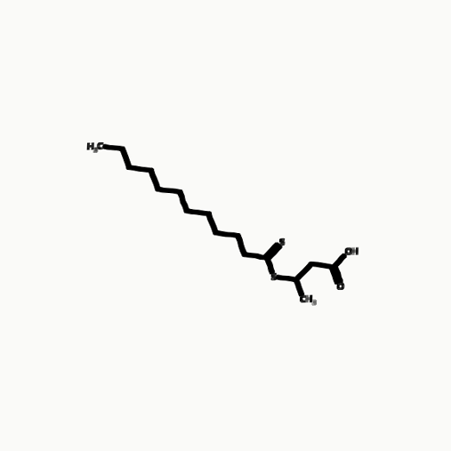 CCCCCCCCCCCC(=S)SC(C)CC(=O)O